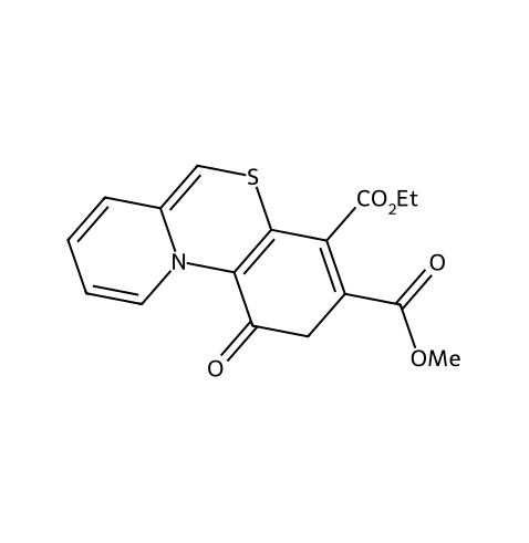 CCOC(=O)C1=C(C(=O)OC)CC(=O)C2=C1SC=C1C=CC=CN12